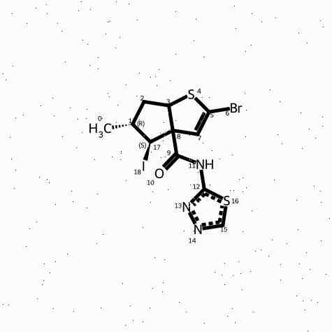 C[C@@H]1CC2SC(Br)=CC2(C(=O)Nc2nncs2)[C@H]1I